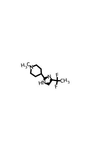 CN1CCC(c2nc(C(C)(F)F)c[nH]2)CC1